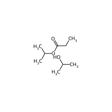 CC(C)O.CCC(=O)OC(C)C